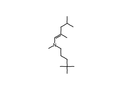 C/C(=C\N(C)CCCC(C)(C)C)CC(C)C